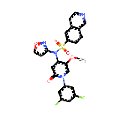 COc1cn(-c2cc(F)cc(F)c2)c(=O)cc1N(c1ccon1)S(=O)(=O)c1ccc2cnccc2c1